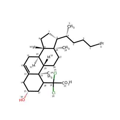 CC(C)CCC[C@@H](C)[C@H]1CC[C@H]2[C@@H]3CC=C4C[C@@H](O)CC(C(Cl)(Cl)C(=O)O)[C@]4(C)[C@H]3CC[C@]12C